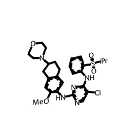 COc1cc2c(cc1Nc1ncc(Cl)c(Nc3ccccc3S(=O)(=O)C(C)C)n1)CCC(N1CCOCC1)C2